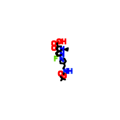 CC(C)(C)OC(=O)NCCC1CCN(c2nc3c(cc2F)c(=O)c(C(=O)O)cn3C2CC2)CC1